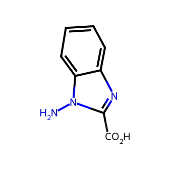 Nn1c(C(=O)O)nc2ccccc21